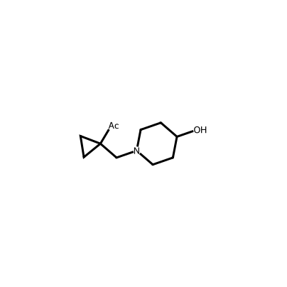 CC(=O)C1(CN2CCC(O)CC2)CC1